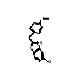 COc1ccc(Cc2nc3ncc(Br)cc3[nH]2)cc1